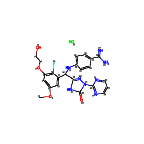 COc1cc(OCCO)c(F)c(C(Nc2ccc(C(=N)N)cc2)c2nn(-c3ncccn3)c(=O)[nH]2)c1.Cl